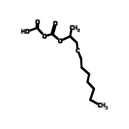 CCCCCCCCCC(C)OC(=O)OC(=O)O